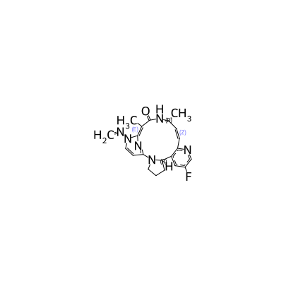 C=NN1C=CC2=N/C1=C(/C)C(=O)N[C@H](C)/C=C\c1ncc(F)cc1[C@H]1CCCN21